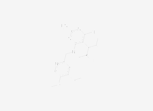 COc1cnc(CN2CC(=O)C(C(C)C)c3c(Cl)nc(N)nc32)cc1OC